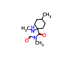 CNC1(C(=O)N(C)C=O)CCC(C)CC1